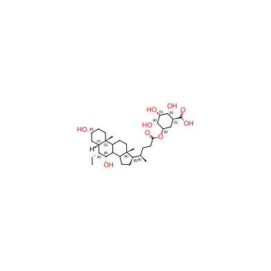 CC[C@H]1[C@@H](O)C2C3CC[C@H]([C@H](C)CCC(=O)O[C@@H]4C[C@H](C(=O)O)[C@@H](O)[C@H](O)[C@H]4O)[C@@]3(C)CCC2[C@@]2(C)CC[C@@H](O)C[C@@H]12